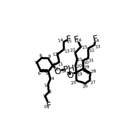 FCCCCC1=CCCCC1(CCCCF)OPOC1(CCCCF)CCCC=C1CCCCF